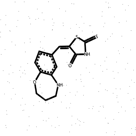 O=C1NC(=S)SC1=Cc1ccc2c(c1)NCCCO2